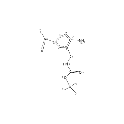 CC(C)(C)OC(=O)NCc1cc([N+](=O)[O-])ccc1N